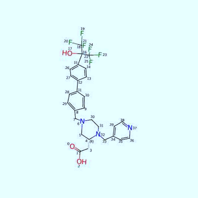 O=C(O)C[C@@H]1CN(Cc2ccc(-c3ccc(C(O)(C(F)(F)F)C(F)(F)F)cc3)cc2)CCN1Cc1ccncc1